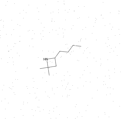 CCCCC1CC(C)(C)N1